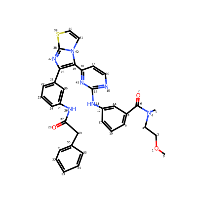 COCCN(C)C(=O)c1cccc(Nc2nccc(-c3c(-c4cccc(NC(=O)Cc5ccccc5)c4)nc4sccn34)n2)c1